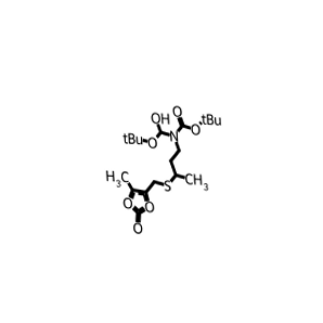 Cc1oc(=O)oc1CSC(C)CCN(C(=O)OC(C)(C)C)C(O)OC(C)(C)C